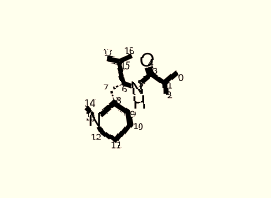 CC(C)C(=O)N[C@H](C[C@@H]1CCCCN1C)C(C)C